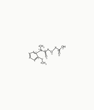 CCc1ccccc1N(C)C(=O)COCC(=O)O